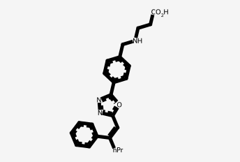 CCCC(=Cc1nnc(-c2ccc(CNCCC(=O)O)cc2)o1)c1ccccc1